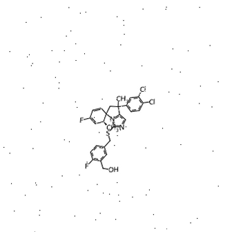 C[C@H]1C=C(F)C=CC12CC(C)(c1ccc(Cl)c(Cl)c1)c1cnc(SCc3ccc(F)c(CO)c3)n12